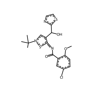 COc1ccc(Cl)cc1C(=O)N=c1sn(C(C)(C)C)cc1C(O)c1nccs1